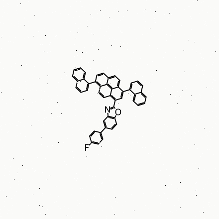 Fc1ccc(-c2ccc3oc(-c4cc(-c5cccc6ccccc56)c5ccc6ccc(-c7cccc8ccccc78)c7ccc4c5c67)nc3c2)cc1